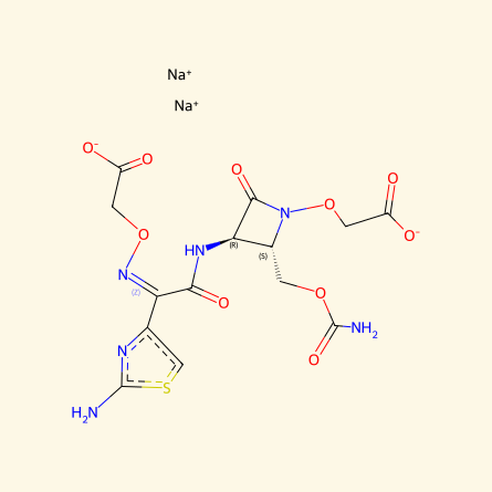 NC(=O)OC[C@@H]1[C@@H](NC(=O)/C(=N\OCC(=O)[O-])c2csc(N)n2)C(=O)N1OCC(=O)[O-].[Na+].[Na+]